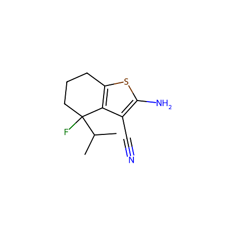 CC(C)C1(F)CCCc2sc(N)c(C#N)c21